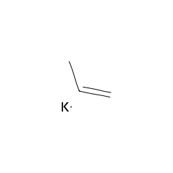 C=CC.[K]